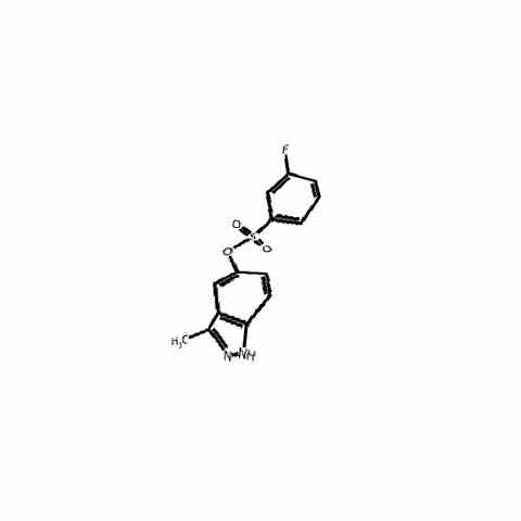 Cc1n[nH]c2ccc(OS(=O)(=O)c3cccc(F)c3)cc12